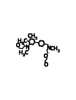 CCN(c1cc(-c2ccc(CN(C)CCOCC=O)cc2)cc(C)c1C)C1CCOCC1